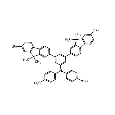 Cc1ccc(N(c2ccc(C(C)(C)C)cc2)c2cc(-c3ccc4c(c3)C(C)(C)c3cc(C(C)(C)C)ccc3-4)cc(-c3ccc4c(c3)C(C)(C)c3cc(C(C)(C)C)ccc3-4)c2)cc1